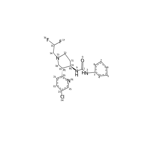 O=C(Nc1ccccc1)N[C@@H]1CCN(CC(F)F)C[C@H]1c1ccc(Cl)cn1